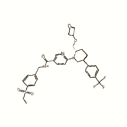 CCS(=O)(=O)c1ccc(CNC(=O)c2ccc(N3CC(c4ccc(C(F)(F)F)cc4)CC[C@H]3COC3COC3)nc2)cc1